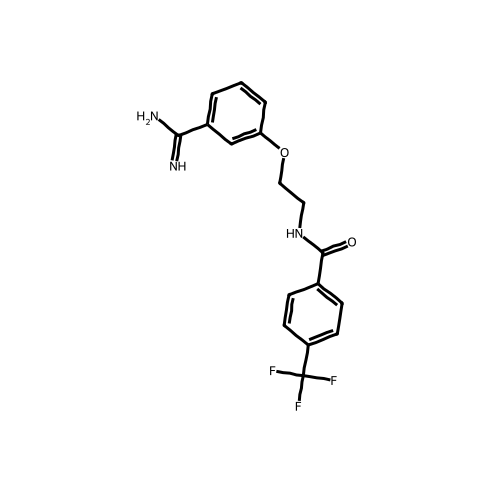 N=C(N)c1cccc(OCCNC(=O)c2ccc(C(F)(F)F)cc2)c1